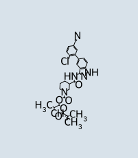 CC(C)C(=O)OC(OC(=O)N1CCCC(C(=O)Nc2n[nH]c3ccc(-c4cc(C#N)ccc4Cl)cc23)C1)C(C)C